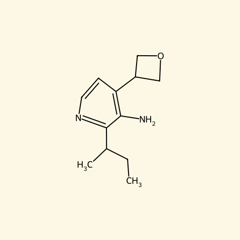 CCC(C)c1nccc(C2COC2)c1N